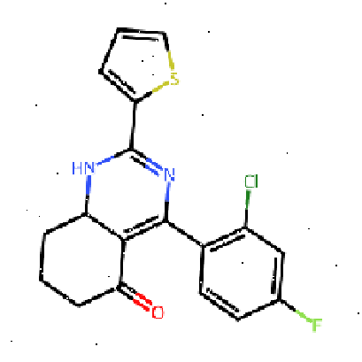 O=C1CCCC2NC(c3cccs3)=NC(c3ccc(F)cc3Cl)=C12